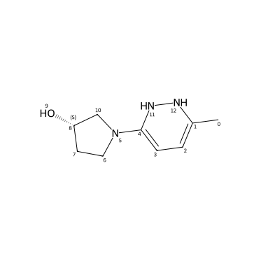 CC1=CC=C(N2CC[C@H](O)C2)NN1